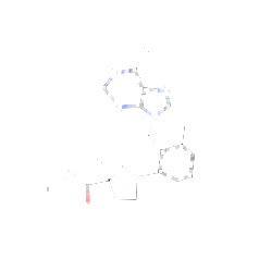 CCc1cc(Cl)cc(N2CCC(N)(C(=O)NC(C)C)C2)c1Cn1cnc2c(N)ncnc21